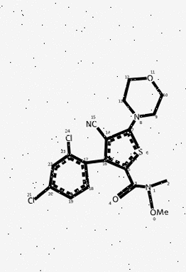 CON(C)C(=O)c1sc(N2CCOCC2)c(C#N)c1-c1ccc(Cl)cc1Cl